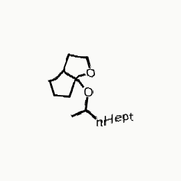 CCCCCCCC(C)OC12CCCC1CCO2